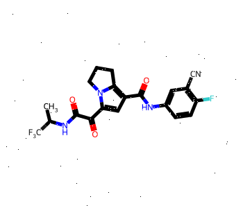 CC(NC(=O)C(=O)c1cc(C(=O)Nc2ccc(F)c(C#N)c2)c2n1CCC2)C(F)(F)F